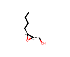 CCCC[C@@H]1O[C@H]1CO